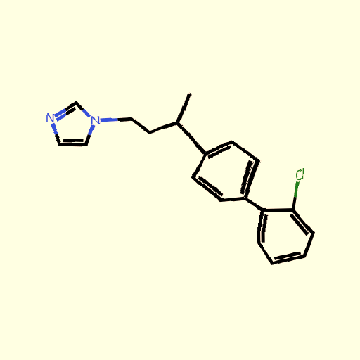 CC(CCn1ccnc1)c1ccc(-c2ccccc2Cl)cc1